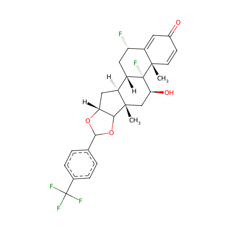 C[C@]12C=CC(=O)C=C1[C@@H](F)C[C@H]1[C@@H]3C[C@H]4OC(c5ccc(C(F)(F)F)cc5)OC4[C@@]3(C)C[C@H](O)[C@@]12F